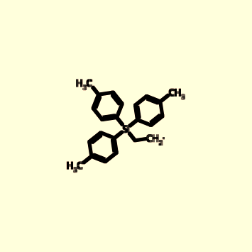 [CH2]C[Si](c1ccc(C)cc1)(c1ccc(C)cc1)c1ccc(C)cc1